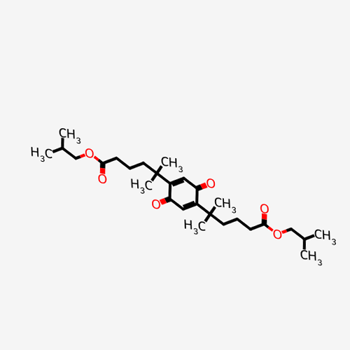 CC(C)COC(=O)CCCC(C)(C)C1=CC(=O)C(C(C)(C)CCCC(=O)OCC(C)C)=CC1=O